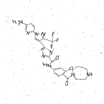 Cn1c(-c2cn(-c3ccc(N)cn3)nc2C(F)(F)F)cnc1C(=O)Nc1ccc(C(=O)N2CCCNCC2)c(Cl)c1